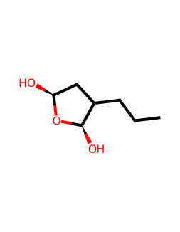 CCCC1C[C@H](O)O[C@@H]1O